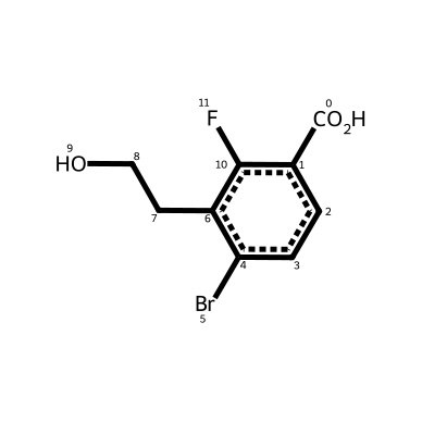 O=C(O)c1ccc(Br)c(CCO)c1F